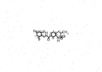 CC1Cc2ccc(C(=O)NCc3c(F)cc(F)cc3F)cc2NS1(=O)=O